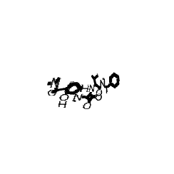 CC(C)[C@@H](Nc1c(N(C)c2cccc(C(=O)N(C)C)c2O)c(=O)c1=O)C(=O)N(C)[C@H](C)c1ccccc1